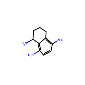 Nc1ccc(N)c2c1CCCC2N